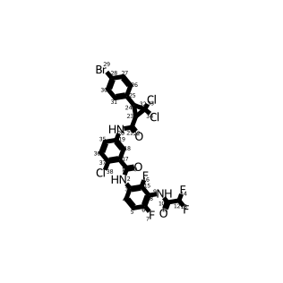 O=C(Nc1ccc(F)c(NC(=O)C(F)F)c1F)c1cc(NC(=O)C2C(c3ccc(Br)cc3)C2(Cl)Cl)ccc1Cl